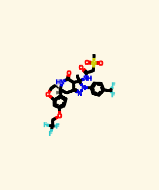 CC1(NC(=O)CS(C)(=O)=O)C2C(=O)N[C@@]3(CCOc4cc(OCC(F)(F)F)ccc43)CC2=NN1c1ccc(C(F)F)cc1